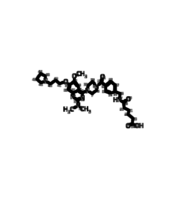 COc1cc2c(N3CCN(C(=O)c4ccc(CNC(=O)CCCCC(=O)O)cc4)CC3)nc(N(C)C)nc2cc1OCCCN1CCCC1